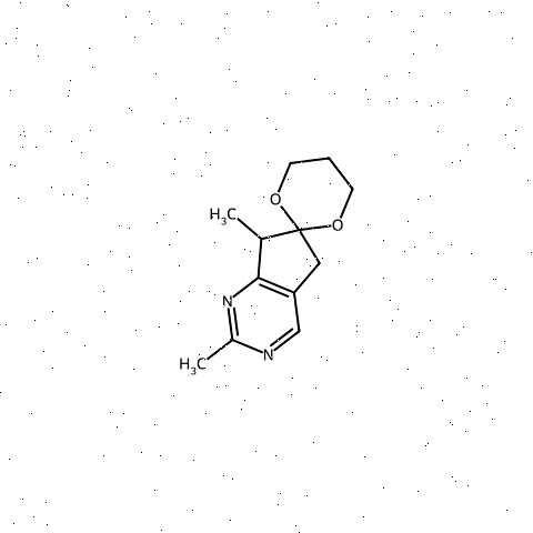 Cc1ncc2c(n1)C(C)C1(C2)OCCCO1